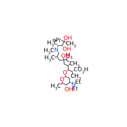 CCCC(C)(O)[C@H](O)[C@@H](C)N(C)C[C@H](C)CC(C)(O)C[C@@H](C)C(O[C@H]1CC(N(CC)CC)[C@H](O)[C@@H](C)O1)[C@@H](C)C(=O)O